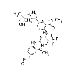 CNC(=O)c1nc(-c2cnn(CC(C)(C)CO)c2)ccc1Nc1nc(Nc2ccc(CP=O)cc2OC)ncc1C(F)(F)F